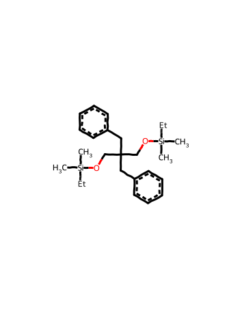 CC[Si](C)(C)OCC(CO[Si](C)(C)CC)(Cc1ccccc1)Cc1ccccc1